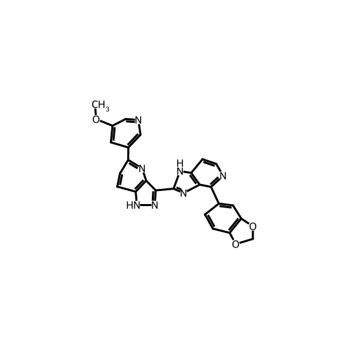 COc1cncc(-c2ccc3[nH]nc(-c4nc5c(-c6ccc7c(c6)OCO7)nccc5[nH]4)c3n2)c1